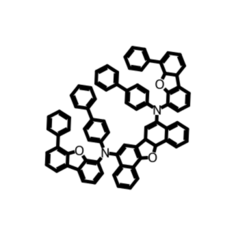 C1=CC2c3cccc(N(C4=CC5c6cc(N(c7ccc(-c8ccccc8)cc7)c7cccc8c7oc7c(-c9ccccc9)cccc78)c7ccccc7c6OC5c5ccccc54)c4ccc(-c5ccccc5)cc4)c3OC2C(c2ccccc2)=C1